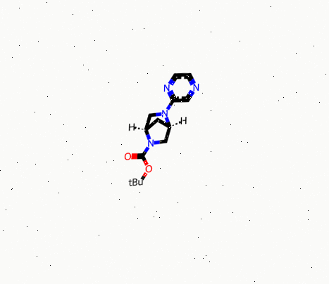 CC(C)(C)OC(=O)N1C[C@H]2C[C@@H]1CN2c1cnccn1